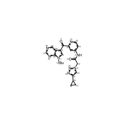 CC(C)(C)n1cc(C(=O)c2cc(NC(=O)Cn3cc(C4CC4)nn3)ccn2)c2cncnc21